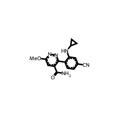 COc1cc(C(N)=O)c(-c2ccc(C#N)cc2NC2CC2)nn1